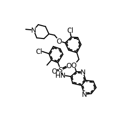 Cc1c(Cl)cccc1S(=O)(=O)Nc1cc2ncccc2nc1OCc1ccc(Cl)c(OCC2CCN(C)CC2)c1